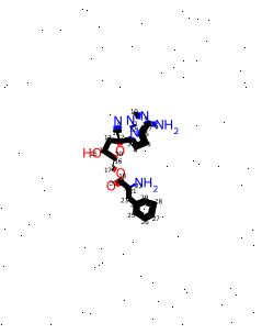 N#C[C@]1(c2ccc3c(N)ncnn23)C[C@H](O)[C@@H](COC(=O)[C@@H](N)Cc2ccccc2)O1